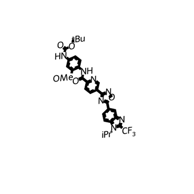 COc1cc(NC(=O)OC(C)(C)C)ccc1NC(=O)c1ccc(-c2noc(-c3ccc4c(c3)nc(C(F)(F)F)n4C(C)C)n2)cn1